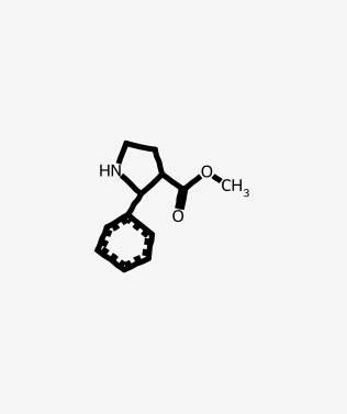 COC(=O)C1CCNC1c1ccccc1